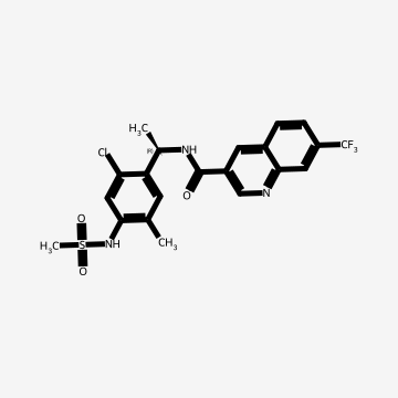 Cc1cc([C@@H](C)NC(=O)c2cnc3cc(C(F)(F)F)ccc3c2)c(Cl)cc1NS(C)(=O)=O